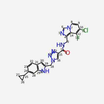 O=C(NCc1ncn2ccc(Cl)c(F)c12)c1cn(Cc2cc3ccc(C4CC4)cc3[nH]2)nn1